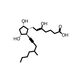 CCCCC(C)CC#C[C@@H]1[C@@H](CC=C(O)CCCC(=O)O)[C@@H](O)C[C@H]1O